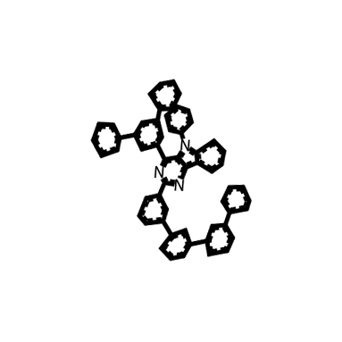 c1ccc(-c2cccc(-c3cccc(-c4cccc(-c5nc(-c6cc(-c7ccccc7)cc(-c7ccccc7)c6)c6c(n5)c5ccccc5n6-c5ccccc5)c4)c3)c2)cc1